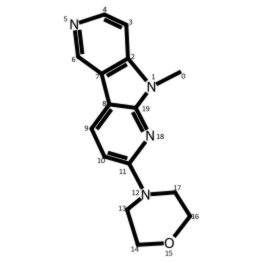 Cn1c2ccncc2c2ccc(N3CCOCC3)nc21